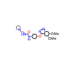 COc1cc2ncnc(Oc3ccc(NC(=O)NCCN4CCCC4)cc3)c2cc1OC